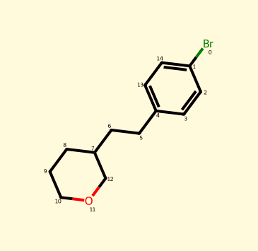 Brc1ccc(CCC2CCCOC2)cc1